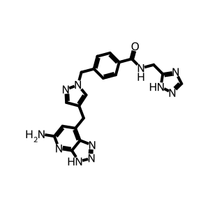 Nc1cc(Cc2cnn(Cc3ccc(C(=O)NCc4ncn[nH]4)cc3)c2)c2nn[nH]c2n1